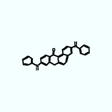 O=C1c2ccc(Nc3ccccc3)cc2Cc2ccc3cc(Nc4ccccc4)ccc3c21